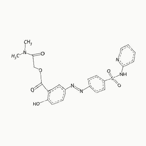 CN(C)C(=O)COC(=O)c1cc(/N=N/c2ccc(S(=O)(=O)Nc3ccccn3)cc2)ccc1O